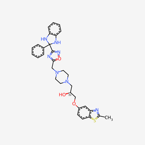 Cc1nc2cc(OC[C@@H](O)CN3CCN(Cc4nc(C5(c6ccccc6)Nc6ccccc6N5)no4)CC3)ccc2s1